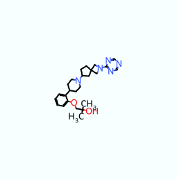 CC(C)(O)COc1ccccc1C1CCN(C2CCC3(C2)CN(c2ncncn2)C3)CC1